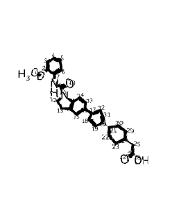 COc1ccccc1NC(=O)N1CCc2cc(-c3ccc([C@H]4CC[C@H](CC(=O)O)CC4)cc3)ccc21